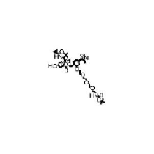 Cc1ncsc1-c1ccc(CNC(=O)[C@@H]2C[C@@H](O)CN2C(=O)[C@@H](NC(=O)C2(F)CC2)C(C)(C)C)c(OCCOCCOCCOCCNC(=O)OC(C)(C)C)c1